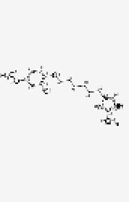 COc1ccc(OCCCCCCc2c[nH]c(C)n2)c(Cl)c1